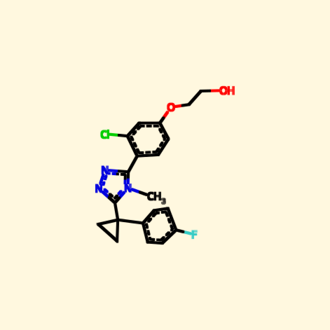 Cn1c(-c2ccc(OCCO)cc2Cl)nnc1C1(c2ccc(F)cc2)CC1